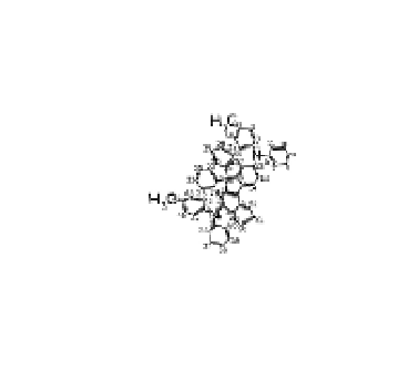 Cc1ccc(N(c2ccccc2)c2ccc3c(c2)C(c2ccccc2)(c2ccccc2)c2cc(N(c4ccccc4)c4ccc(C)cc4)c4ccccc4c2-3)cc1